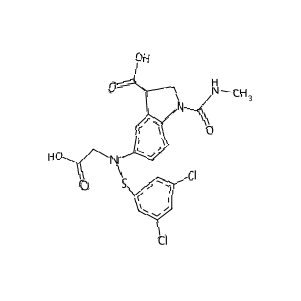 CNC(=O)N1CC(C(=O)O)c2cc(N(CC(=O)O)Sc3cc(Cl)cc(Cl)c3)ccc21